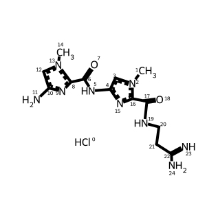 Cl.Cn1cc(NC(=O)c2nc(N)cn2C)nc1C(=O)NCCC(=N)N